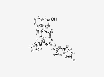 C#Cc1cccc2cc(O)cc(-c3ccc4c(N5CC6CCC(C5)N6)nc(OCC5(CN6CC7CN(C)CC76)CC5)nc4c3F)c12